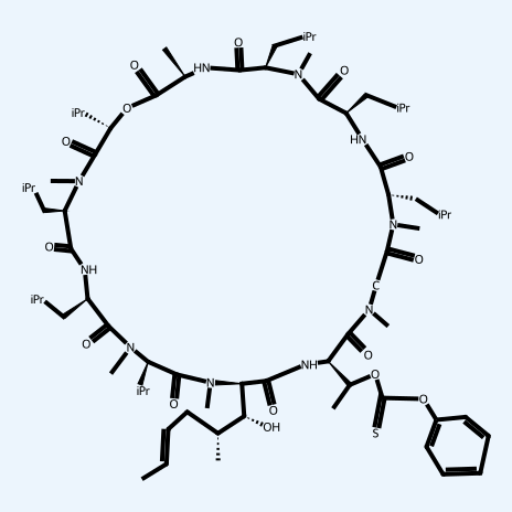 C/C=C/C[C@@H](C)[C@@H](O)[C@@H]1C(=O)N[C@H](C(C)OC(=S)Oc2ccccc2)C(=O)N(C)CC(=O)N(C)[C@@H](CC(C)C)C(=O)N[C@H](CC(C)C)C(=O)N(C)[C@H](CC(C)C)C(=O)N[C@H](C)C(=O)O[C@@H](C(C)C)C(=O)N(C)[C@H](CC(C)C)C(=O)N[C@H](CC(C)C)C(=O)N(C)[C@H](C(C)C)C(=O)N1C